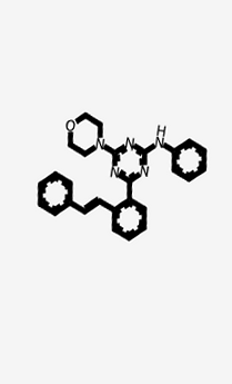 C(=Cc1ccccc1-c1nc(Nc2ccccc2)nc(N2CCOCC2)n1)c1ccccc1